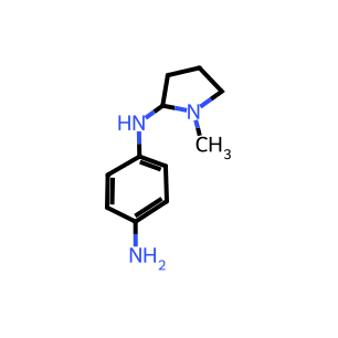 CN1CCCC1Nc1ccc(N)cc1